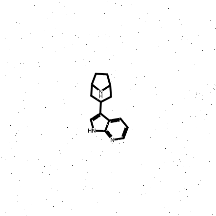 c1cnc2[nH]cc(C3CC4CCC(C3)N4)c2c1